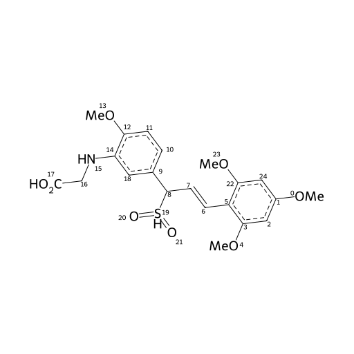 COc1cc(OC)c(C=CC(c2ccc(OC)c(NCC(=O)O)c2)[SH](=O)=O)c(OC)c1